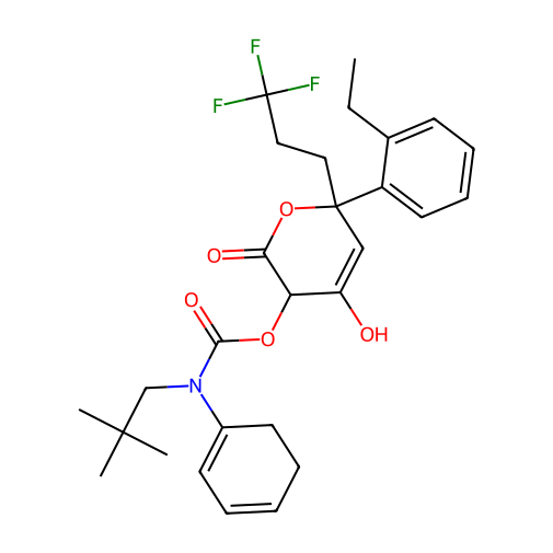 CCc1ccccc1C1(CCC(F)(F)F)C=C(O)C(OC(=O)N(CC(C)(C)C)C2=CC=CCC2)C(=O)O1